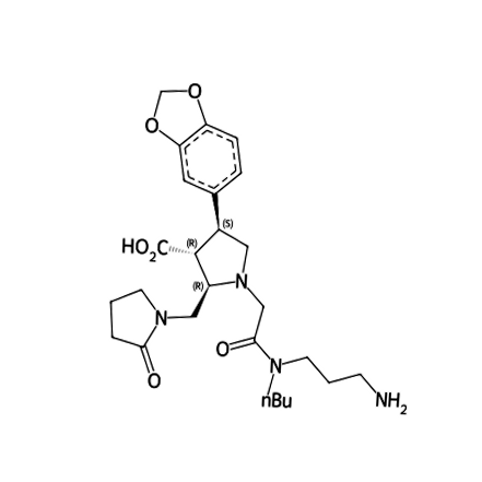 CCCCN(CCCN)C(=O)CN1C[C@H](c2ccc3c(c2)OCO3)[C@@H](C(=O)O)[C@@H]1CN1CCCC1=O